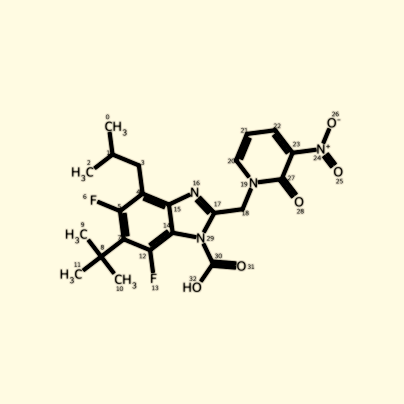 CC(C)Cc1c(F)c(C(C)(C)C)c(F)c2c1nc(Cn1cccc([N+](=O)[O-])c1=O)n2C(=O)O